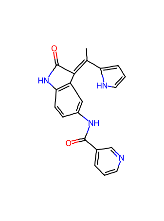 CC(=C1C(=O)Nc2ccc(NC(=O)c3cccnc3)cc21)c1ccc[nH]1